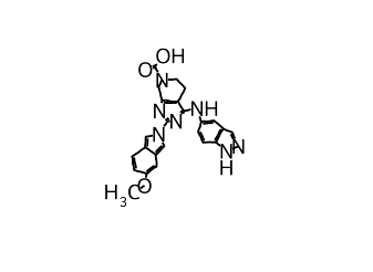 COc1ccc2cn(-c3nc4c(c(Nc5ccc6[nH]ncc6c5)n3)CCN(C(=O)O)C4)cc2c1